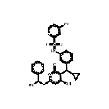 CCC(Cc1cc(O)c(C(c2cccc(NS(=O)(=O)c3cc(C#N)ccn3)c2)C2CC2)c(=O)o1)c1ccccc1